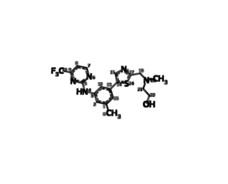 Cc1cc(Nc2nccc(C(F)(F)F)n2)cc(-c2cnc(CN(C)CCO)s2)c1